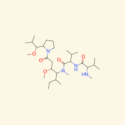 CCC(C)C(C(CC(=O)N1CCCC1C(OC)C(C)C)OC)N(C)C(=O)C(NC(=O)C(NC)C(C)C)C(C)C